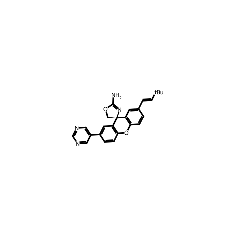 CC(C)(C)/C=C/c1ccc2c(c1)[C@]1(COC(N)=N1)c1cc(-c3cncnc3)ccc1O2